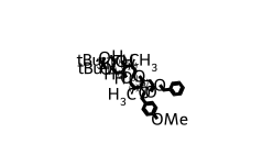 COc1ccc(CO[C@@H]2[C@H](CC(=O)OCc3ccccc3)O[C@@]3(C[C@@H]2C)C[C@H](C)[C@@H]2O[C@@H]4CO[Si](C(C)(C)C)(C(C)(C)C)O[C@@H]4C[C@@H]2O3)cc1